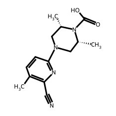 Cc1ccc(N2C[C@@H](C)N(C(=O)O)[C@@H](C)C2)nc1C#N